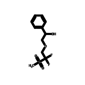 CS(=O)(=O)C(F)(F)COCC(O)c1ccccc1